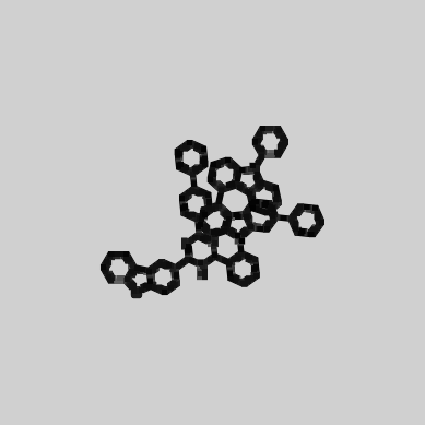 c1ccc(-c2ccc(C3=NC(c4ccccc4-n4c5cc(-c6ccccc6)ccc5c5c(-c6cccc7c6c6ccccc6n7-c6ccccc6)cccc54)NC(c4ccc5oc6ccccc6c5c4)=N3)cc2)cc1